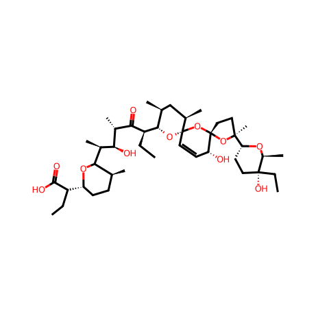 CCC(C(=O)O)[C@H]1CC[C@H](C)C([C@@H](C)[C@H](O)[C@H](C)C(=O)[C@H](CC)[C@H]2O[C@]3(C=C[C@@H](O)[C@]4(CC[C@@](C)([C@H]5CC[C@](O)(CC)[C@H](C)O5)O4)O3)[C@H](C)C[C@@H]2C)O1